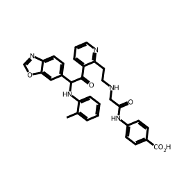 Cc1ccccc1NC(C(=O)c1cccnc1CCNCC(=O)Nc1ccc(C(=O)O)cc1)c1ccc2ncoc2c1